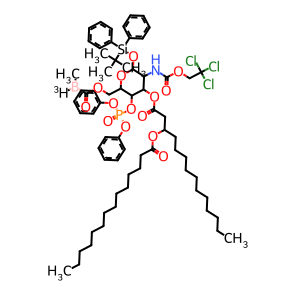 [3H]B(C)C(=O)OCC1OC(O[Si](c2ccccc2)(c2ccccc2)C(C)(C)C)C(NC(=O)OCC(Cl)(Cl)Cl)C(OC(=O)CC(CCCCCCCCCCC)OC(=O)CCCCCCCCCCCCC)C1OP(=O)(Oc1ccccc1)Oc1ccccc1